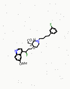 COc1ccc2nccc(C(F)CC[C@@H]3CCN(CCCCc4cccc(F)c4)C[C@@H]3CC(=O)O)c2c1